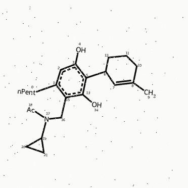 CCCCCc1cc(O)c(C2C=C(C)CCC2)c(O)c1CN(C(C)=O)C1CC1